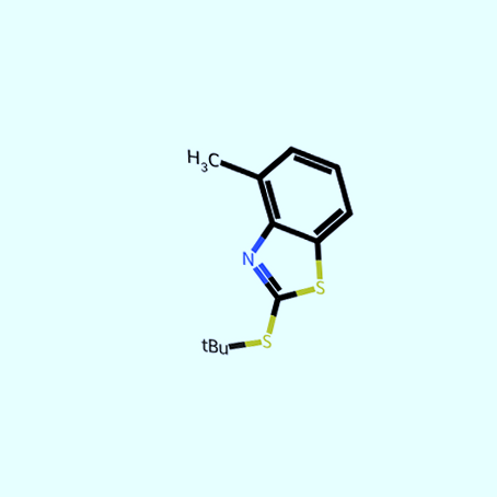 Cc1cccc2sc(SC(C)(C)C)nc12